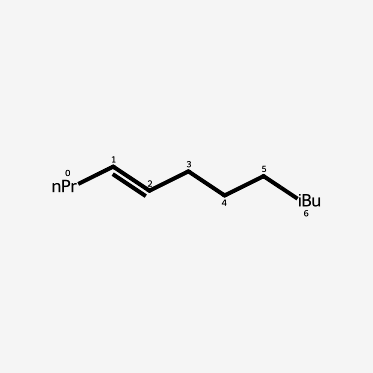 [CH2]CCC=CCCCC(C)CC